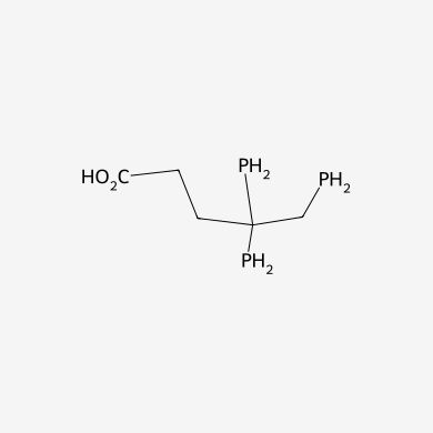 O=C(O)CCC(P)(P)CP